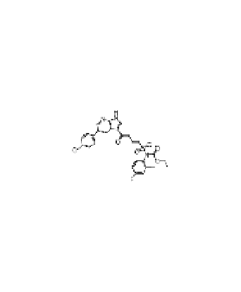 CCOC(=O)N(c1ccc(F)cc1F)S(=O)(=O)CCCC(=O)c1c[nH]c2ncc(-c3ccc(Cl)cc3)cc12